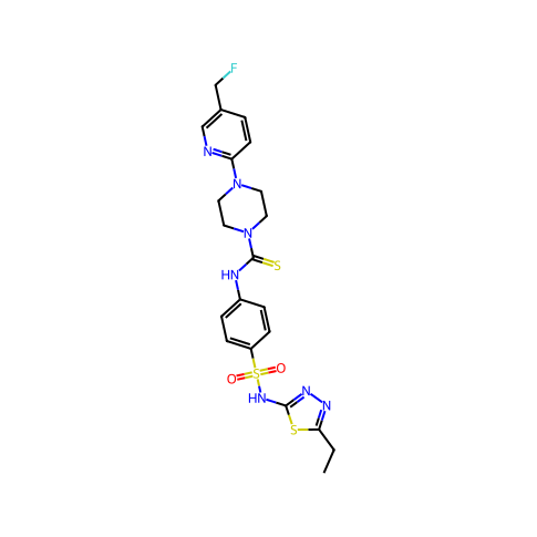 CCc1nnc(NS(=O)(=O)c2ccc(NC(=S)N3CCN(c4ccc(CF)cn4)CC3)cc2)s1